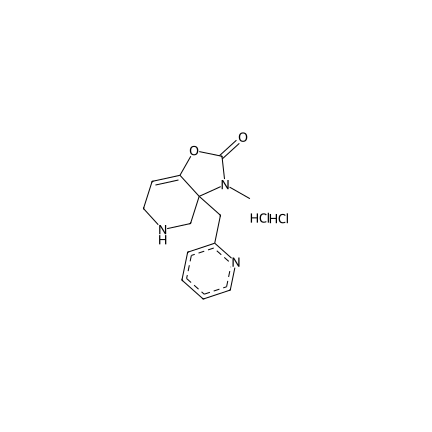 CN1C(=O)OC2=CCNCC21Cc1ccccn1.Cl.Cl